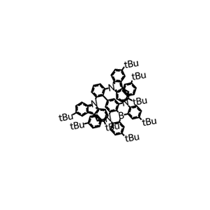 CC(C)(C)c1ccc(N2c3ccc(C(C)(C)C)cc3B3c4cc(C(C)(C)C)ccc4N(c4ccc(C(C)(C)C)cc4)c4cc(-c5c(-n6c7ccc(C(C)(C)C)cc7c7cc(C(C)(C)C)ccc76)cccc5-n5c6ccc(C(C)(C)C)cc6c6cc(C(C)(C)C)ccc65)cc2c43)cc1